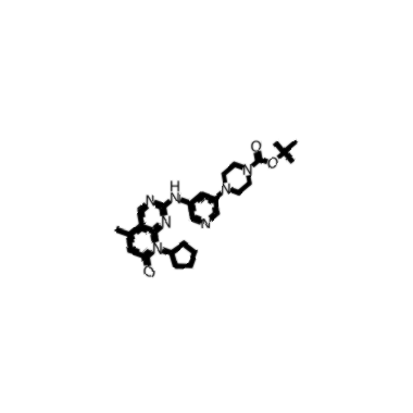 Cc1cc(=O)n(C2CCCC2)c2nc(Nc3cncc(N4CCN(C(=O)OC(C)(C)C)CC4)c3)ncc12